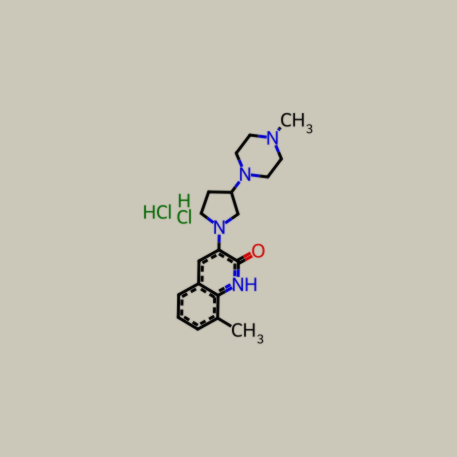 Cc1cccc2cc(N3CCC(N4CCN(C)CC4)C3)c(=O)[nH]c12.Cl.Cl